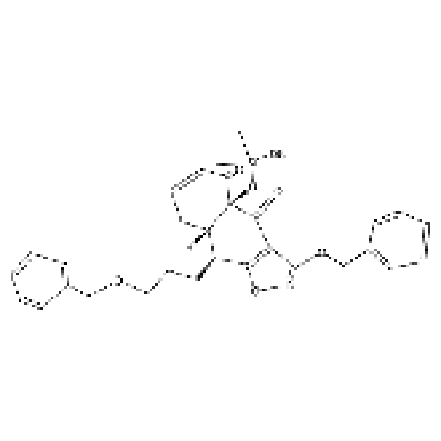 CC(C)(C)[Si](C)(C)O[C@]12C(=O)C=CC[C@H]1[C@H](CCCOCc1ccccc1)c1onc(OCc3ccccc3)c1C2=O